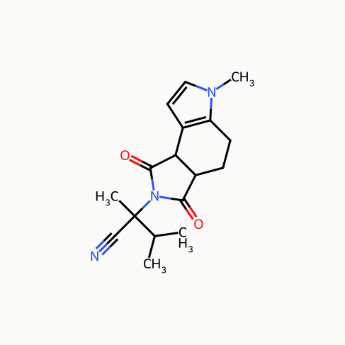 CC(C)C(C)(C#N)N1C(=O)C2CCc3c(ccn3C)C2C1=O